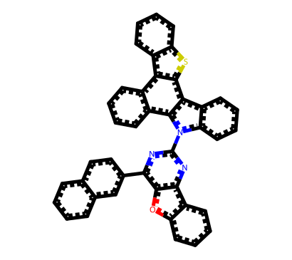 c1ccc2cc(-c3nc(-n4c5ccccc5c5c6sc7ccccc7c6c6ccccc6c54)nc4c3oc3ccccc34)ccc2c1